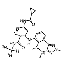 [2H]C([2H])([2H])NC(=O)c1nnc(NC(=O)C2CC2)cc1Nc1cccc2c1N(C)[C@H](C)c1nn(C)nc1-2